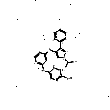 COC1=CC=C(Nc2cc(Oc3cn(C(F)F)nc3-c3ccccn3)ccn2)NN1